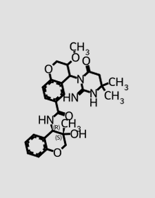 COC1COc2ccc(C(=O)N[C@@H]3c4ccccc4OC[C@@]3(C)O)cc2C1N1C(=N)NC(C)(C)CC1=O